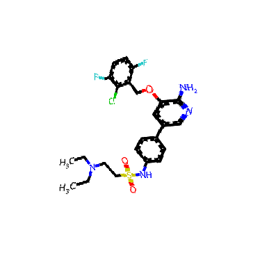 CCN(CC)CCS(=O)(=O)Nc1ccc(-c2cnc(N)c(OCc3c(F)ccc(F)c3Cl)c2)cc1